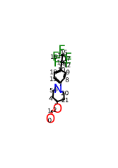 O=COC1CCN(c2ccc(C(F)(F)C(F)(F)F)cc2)CC1